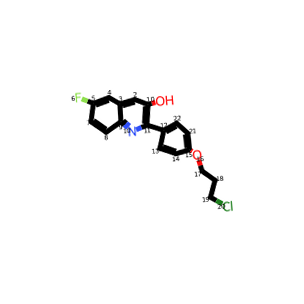 Oc1cc2cc(F)ccc2nc1-c1ccc(OCCCCl)cc1